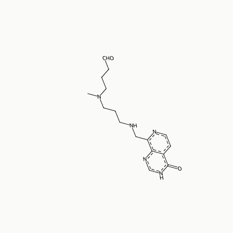 CN(CCCC=O)CCCNCc1nccc2c(=O)[nH]cnc12